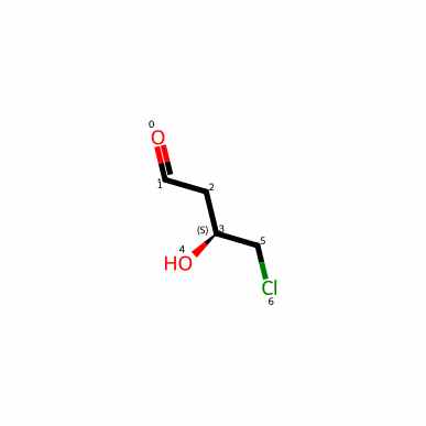 O=[C]C[C@H](O)CCl